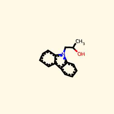 CC(O)Cn1c2ccccc2c2ccccc21